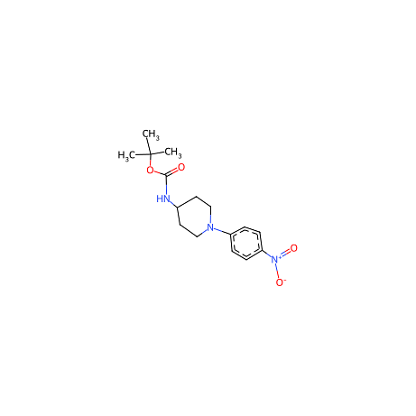 CC(C)(C)OC(=O)NC1CCN(c2ccc([N+](=O)[O-])cc2)CC1